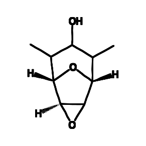 CC1C(O)C(C)[C@@H]2O[C@H]1C1O[C@H]12